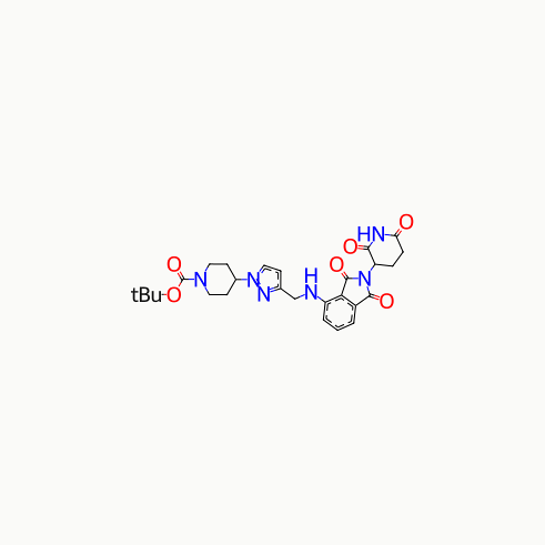 CC(C)(C)OC(=O)N1CCC(n2ccc(CNc3cccc4c3C(=O)N(C3CCC(=O)NC3=O)C4=O)n2)CC1